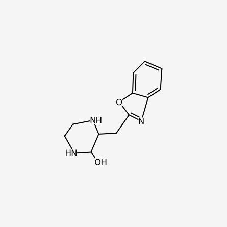 OC1NCCNC1Cc1nc2ccccc2o1